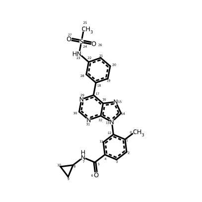 Cc1ccc(C(=O)NC2CC2)cc1-n1cnc2c(-c3cccc(NS(C)(=O)=O)c3)ncnc21